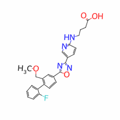 COCc1cc(-c2nc(-c3ccc(NCCCC(=O)O)nc3)no2)ccc1-c1ccccc1F